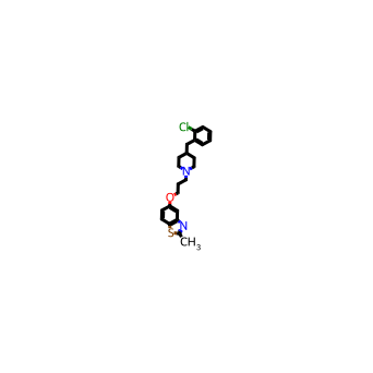 Cc1nc2cc(OCCCN3CCC(Cc4ccccc4Cl)CC3)ccc2s1